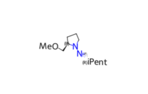 CCC[C@@H](C)/C=N/N1CCC[C@@H]1COC